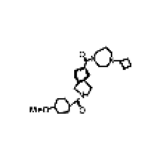 CO[C@H]1CC[C@@H](C(=O)N2CCc3cc(C(=O)N4CCCN(C5CCC5)CC4)ccc3C2)CC1